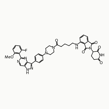 COc1cccc(F)c1-c1ncc2[nH]nc(-c3ccc(N4CCN(C(=O)CCCCNc5cccc6c5C(=O)N(C5CCC(=O)NC5=O)C6=O)CC4)cc3)c2n1